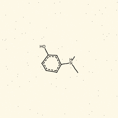 C[SiH](C)c1cccc(O)c1